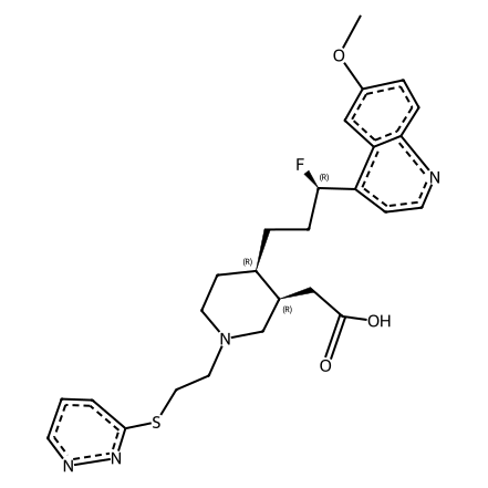 COc1ccc2nccc([C@H](F)CC[C@@H]3CCN(CCSc4cccnn4)C[C@@H]3CC(=O)O)c2c1